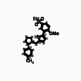 CCS(=O)(=O)c1ccc(OC)c(-c2ccc(CN3CCC[C@@H]3c3ccc(C)cc3)[nH]2)c1